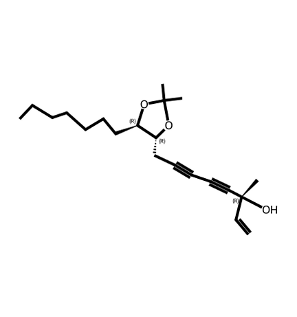 C=C[C@@](C)(O)C#CC#CC[C@H]1OC(C)(C)O[C@@H]1CCCCCCC